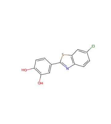 Oc1ccc(-c2nc3ccc(Cl)cc3s2)cc1O